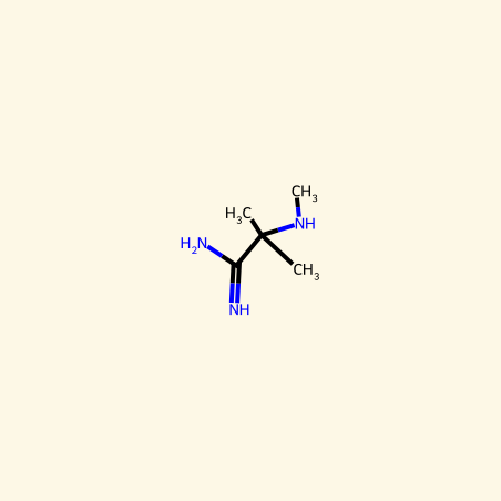 CNC(C)(C)C(=N)N